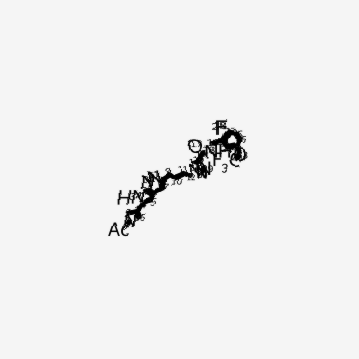 CC(=O)N1CC(c2cc3cc(CCCCn4cc(C(=O)NCc5cc(OC(F)(F)F)ccc5F)nn4)nnc3[nH]2)C1